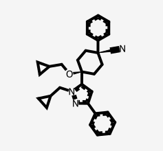 N#C[C@]1(c2ccccc2)CC[C@@](OCC2CC2)(c2cc(-c3ccccc3)nn2CC2CC2)CC1